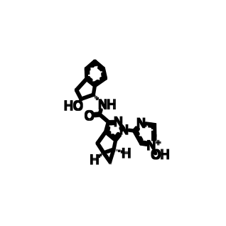 O=C(N[C@H]1c2ccccc2C[C@H]1O)c1nn(-c2c[n+](O)ccn2)c2c1C[C@@H]1C[C@H]21